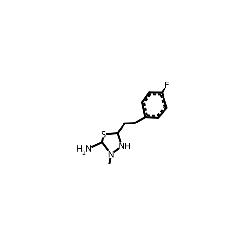 CN1NC(CCc2ccc(F)cc2)SC1N